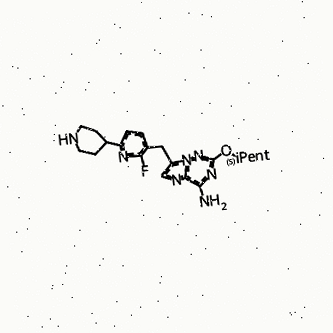 CCC[C@H](C)Oc1nc(N)c2ncc(Cc3ccc(C4CCNCC4)nc3F)n2n1